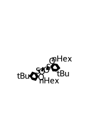 CCCCCCOc1ccc(C(C)(C)C)cc1SOCOSc1cc(C(C)(C)C)ccc1OCCCCCC